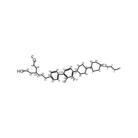 CCCCCC1CCC(C2CCC(c3ccc(-c4ccc(CCCC(CCO)CCOC)cc4)c(F)c3F)CC2)CC1